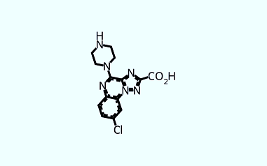 O=C(O)c1nc2c(N3CCNCC3)nc3ccc(Cl)cc3n2n1